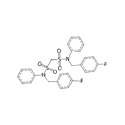 O=S(=O)(CS(=O)(=O)N(Cc1ccc(F)cc1)c1ccccc1)N(Cc1ccc(F)cc1)c1ccccc1